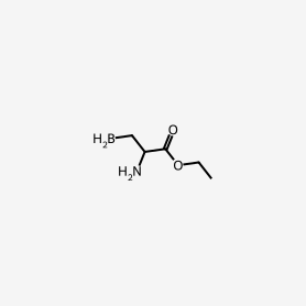 BCC(N)C(=O)OCC